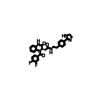 O=C(C[C@@H]1C(=O)Nc2ccccc2N1C(=O)c1ccc(F)c(F)c1)NCCc1ccc(C2=NCCN2)cc1